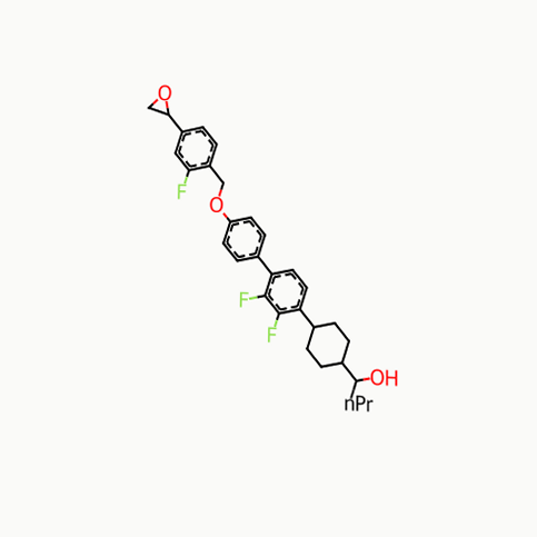 CCCC(O)C1CCC(c2ccc(-c3ccc(OCc4ccc(C5CO5)cc4F)cc3)c(F)c2F)CC1